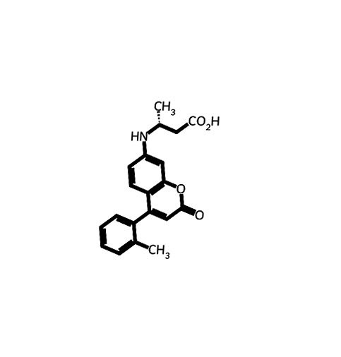 Cc1ccccc1-c1cc(=O)oc2cc(N[C@H](C)CC(=O)O)ccc12